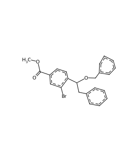 COC(=O)c1ccc(C(Cc2ccccc2)OCc2ccccc2)c(Br)c1